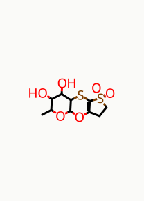 CC1OC2OC3=C(SC2C(O)C1O)S(=O)(=O)CC3